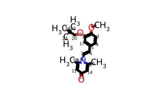 COc1ccc(/C=C/n2c(C)cc(=O)cc2C)cc1OCC(C)(C)C